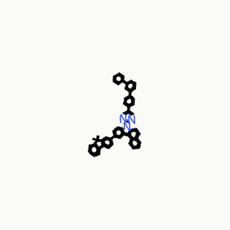 CC1(C)c2ccccc2-c2ccc(-c3ccc4c(c3)c3c5ccccc5ccc3n4-c3ncc(-c4ccc(-c5cccc(-c6ccccc6)c5)cc4)cn3)cc21